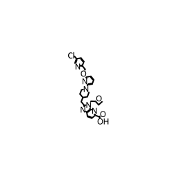 O=C(O)c1ccc2nc(CC3CCN(c4cccc(OCc5ccc(Cl)cn5)n4)CC3)n(CC3CCO3)c2n1